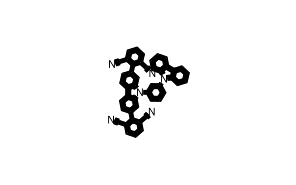 N#Cc1cccc(C#N)c1-c1ccc2c3ccc(-c4c(C#N)cccc4C#N)cc3n(-c3cccc(-n4c5ccccc5c5ccccc54)c3)c2c1